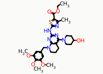 CCOC(=O)c1sc(Nc2nc(N3CCC(O)CC3)c3c(n2)N(Cc2cc(OC)c(OC)c(OC)c2)CCC3)nc1C